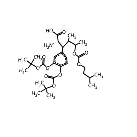 CC(C)CCOC(=O)OC(C)C(C)C(c1ccc(OC(=O)OC(C)(C)C)c(OC(=O)OC(C)(C)C)c1)[C@H](N)C(=O)O